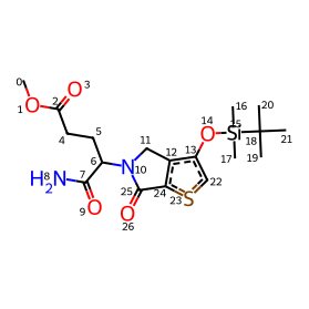 COC(=O)CCC(C(N)=O)N1Cc2c(O[Si](C)(C)C(C)(C)C)csc2C1=O